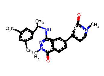 CC(Nc1nn(C)c(=O)c2ccc(-c3ccn(C)c(=O)c3)cc12)c1cc([N+](=O)[O-])cc(C(F)(F)F)c1